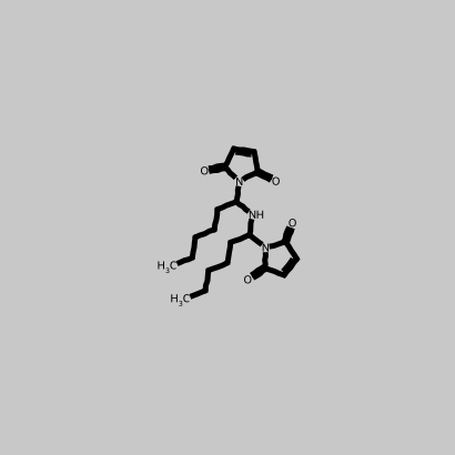 CCCCCC(NC(CCCCC)N1C(=O)C=CC1=O)N1C(=O)C=CC1=O